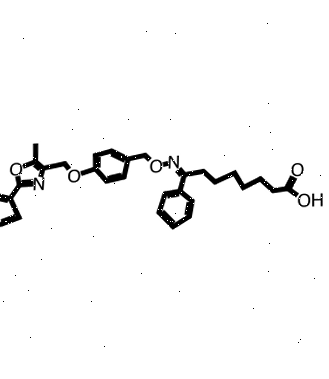 Cc1oc(-c2ccccc2)nc1COc1ccc(CON=C(CCCCCCC(=O)O)c2ccccc2)cc1